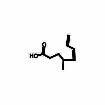 C=C/C=C\C(C)CCC(=O)O